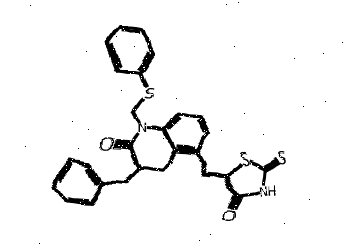 O=C1NC(=S)SC1Cc1cccc2c1CC(Cc1ccccc1)C(=O)N2CSc1ccccc1